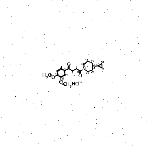 COc1ccc(C(=O)CCC(=O)N2CCCN(C3CC3)CC2)cc1OC.Cl